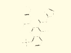 CCC(=O)OC(c1nc2c(C(F)(F)F)cccc2c(O)c1C(=O)Nc1nccs1)C(C)C